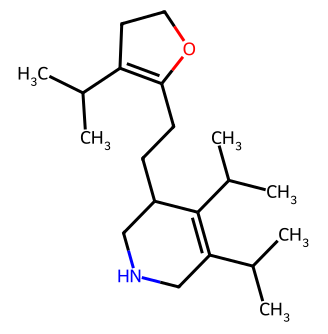 CC(C)C1=C(CCC2CNCC(C(C)C)=C2C(C)C)OCC1